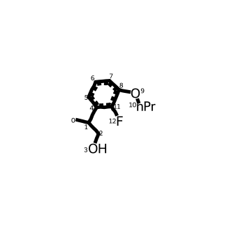 [CH2]C(CO)c1cccc(OCCC)c1F